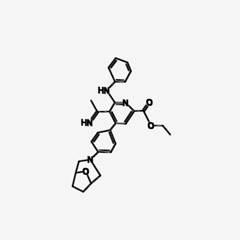 CCOC(=O)c1cc(-c2ccc(N3CC4CCC(C3)O4)cc2)c(C(C)=N)c(Nc2ccccc2)n1